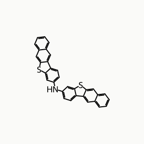 c1ccc2cc3c(cc2c1)sc1cc(Nc2ccc4c(c2)sc2cc5ccccc5cc24)ccc13